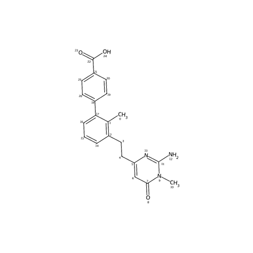 Cc1c(CCc2cc(=O)n(C)c(N)n2)cccc1-c1ccc(C(=O)O)cc1